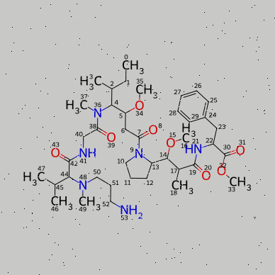 CCC(C)C(C(CC(=O)N1CCCC1C(OC)C(C)C(=O)NC(Cc1ccccc1)C(=O)OC)OC)N(C)C(=O)CNC(=O)C(C(C)C)N(C)CCCN